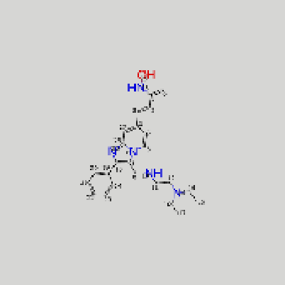 C=C(/C=C/c1ccn2c(CNCCN(CC)CC)c(-c3ccccc3)nc2c1)NO